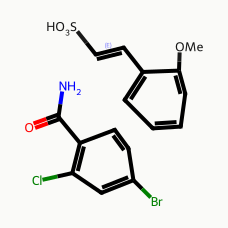 COc1ccccc1/C=C/S(=O)(=O)O.NC(=O)c1ccc(Br)cc1Cl